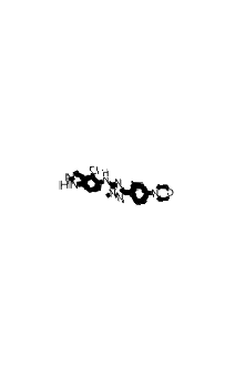 Cn1nc(-c2ccc(N3CCOCC3)cc2)nc1Nc1ccc2[nH]ncc2c1Cl